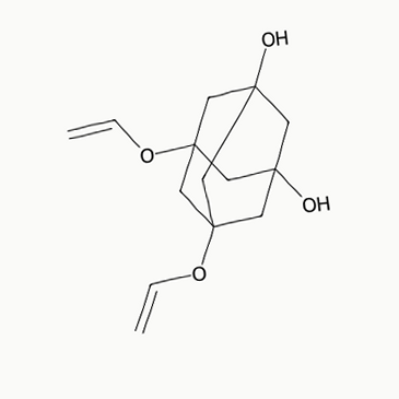 C=COC12CC3(O)CC(O)(C1)CC(OC=C)(C3)C2